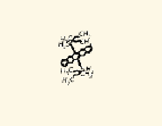 CCCC(C)(CCC)[SiH2]C#Cc1c2cc3ccccc3cc2c(C#C[SiH2]C(C)(CCC)CCC)c2cc3ccccc3cc12